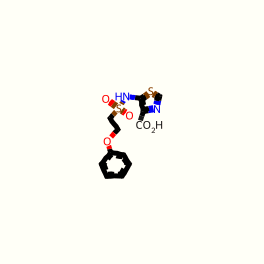 O=C(O)c1ncsc1NS(=O)(=O)CCOc1ccccc1